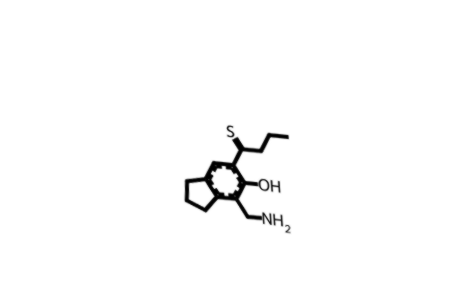 CCCC(=S)c1cc2c(c(CN)c1O)CCC2